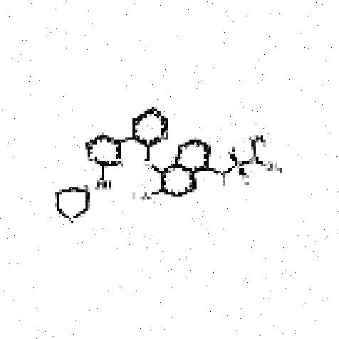 Cc1ccc2c(NS(=O)(=O)N(C)C)cccc2c1Oc1ncccc1-c1ccnc(N[C@H]2CCCNC2)n1